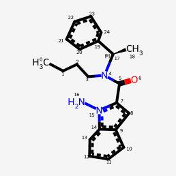 CCCCN(C(=O)c1cc2ccccc2n1N)[C@H](C)c1ccccc1